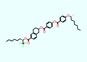 CCCCCC[C@@H](C)Oc1ccc(C(=O)Oc2ccc(C(=O)OC3CCc4cc(C(=O)O[C@H](CCCCCC)C(F)(F)F)ccc4C3)cc2)cc1